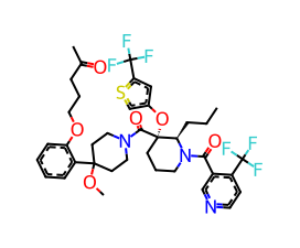 CCC[C@H]1N(C(=O)c2cnccc2C(F)(F)F)CCC[C@@]1(Oc1csc(C(F)(F)F)c1)C(=O)N1CCC(OC)(c2ccccc2OCCCC(C)=O)CC1